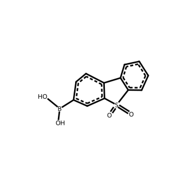 O=S1(=O)c2ccccc2-c2ccc(B(O)O)cc21